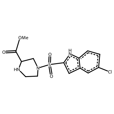 COC(=O)C1CN(S(=O)(=O)c2cc3cc(Cl)ccc3[nH]2)CCN1